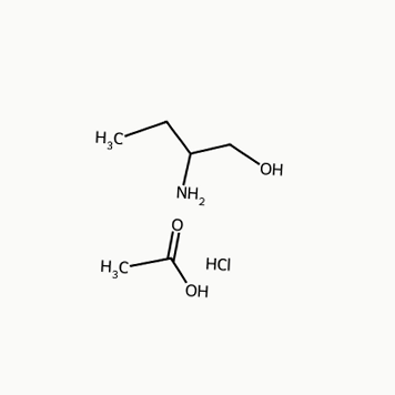 CC(=O)O.CCC(N)CO.Cl